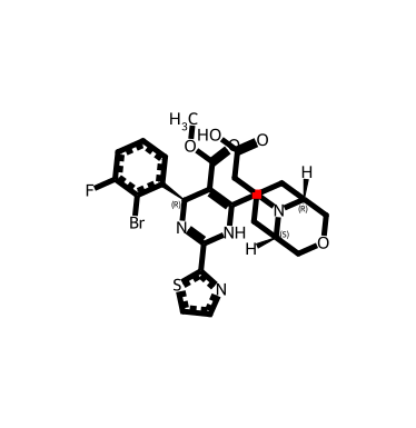 COC(=O)C1=C(CN2[C@@H]3COC[C@H]2CC(CC(=O)O)C3)NC(c2nccs2)=N[C@H]1c1cccc(F)c1Br